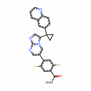 CNC(=O)c1cc(F)c(-c2cnc3ncc(C4(c5ccc6ncccc6c5)CC4)n3c2)cc1F